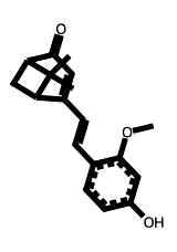 COc1cc(O)ccc1C=CC1=CC(=O)C2CC1C2(C)C